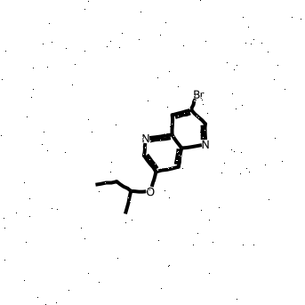 CCC(C)Oc1cnc2cc(Br)cnc2c1